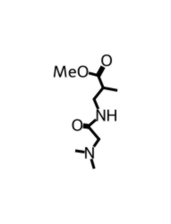 COC(=O)C(C)CNC(=O)CN(C)C